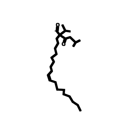 CCCCCCCC/C=C\CCCCCCCCC([C]=O)(C(=O)CC(C)C)C(C)C